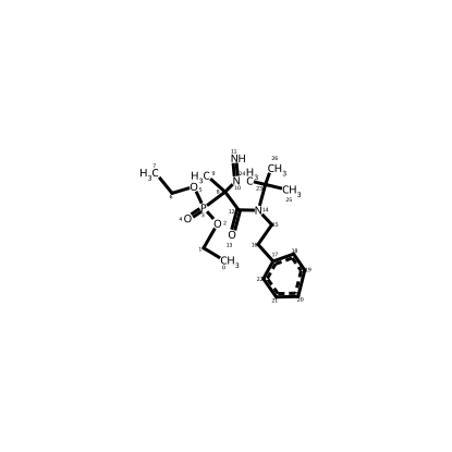 CCOP(=O)(OCC)C(C)(N=N)C(=O)N(CCc1ccccc1)C(C)(C)C